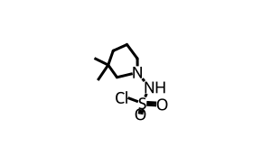 CC1(C)CCCN(NS(=O)(=O)Cl)C1